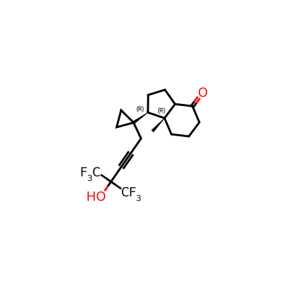 C[C@]12CCCC(=O)C1CC[C@@H]2C1(CC#CC(O)(C(F)(F)F)C(F)(F)F)CC1